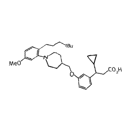 COc1ccc(CCCC(C)(C)C)c(N2CCC(COc3cccc(C(CC(=O)O)C4CC4)c3)CC2)c1